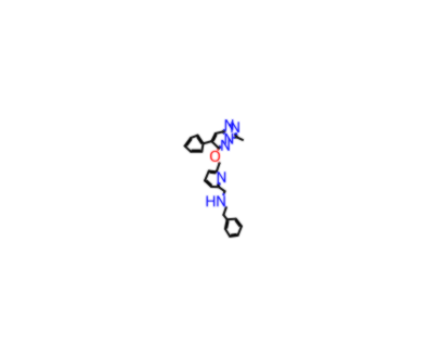 Cc1nnc2cc(-c3ccccc3)c(OCc3cccc(CNCCc4ccccc4)n3)nn12